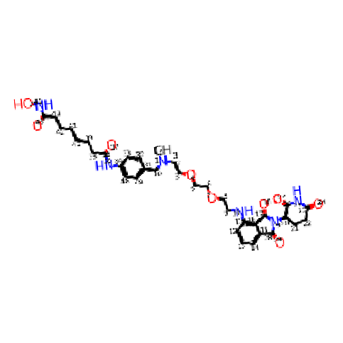 CN(CCOCCOCCNc1cccc2c1C(=O)N(C1CCC(=O)NC1=O)C2=O)Cc1ccc(NC(=O)CCCCCCC(=O)NO)cc1